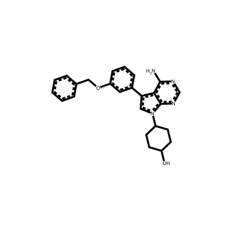 Nc1ncnc2c1c(-c1cccc(OCc3ccccc3)c1)cn2C1CCC(O)CC1